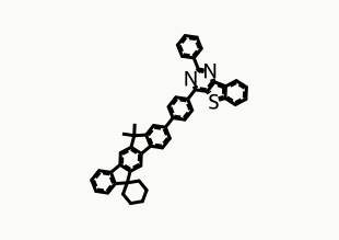 CC1(C)c2cc(-c3ccc(-c4nc(-c5ccccc5)nc5c4sc4ccccc45)cc3)ccc2-c2cc3c(cc21)-c1ccccc1C31CCCCC1